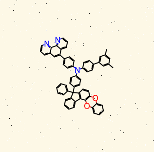 Cc1cc(C)cc(-c2ccc(N(c3ccc(-c4cc5cccnc5c5ncccc45)cc3)c3ccc(C4(c5ccccc5)c5ccccc5-c5c4ccc4c5Oc5ccccc5O4)cc3)cc2)c1